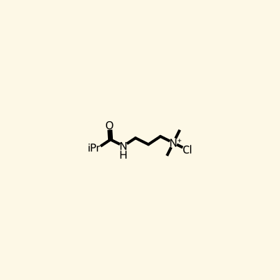 CC(C)C(=O)NCCC[N+](C)(C)Cl